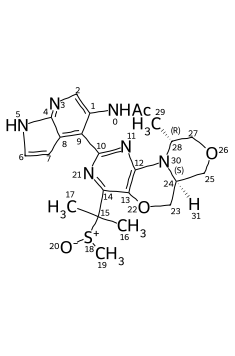 CC(=O)Nc1cnc2[nH]ccc2c1-c1nc2c(c(C(C)(C)[S+](C)[O-])n1)OC[C@@H]1COC[C@@H](C)N21